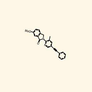 COc1ccc2c(c1)C(=O)N(c1ncc(C#Cc3ccccc3)cc1C)C2